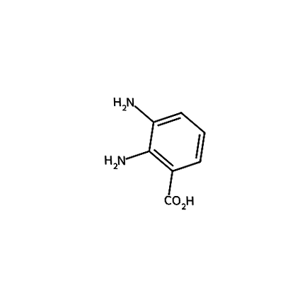 Nc1cccc(C(=O)O)c1N